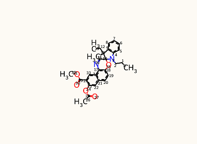 CCCN1c2ccccc2C(C)(CC)C12C=Nc1c(ccc3cc(OC(C)=O)c(C(=O)OC)cc13)O2